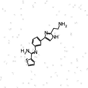 NCCc1nc(-c2cccc(N=C(N)c3cccs3)c2)c[nH]1